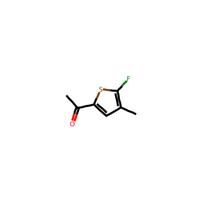 CC(=O)c1cc(C)c(F)s1